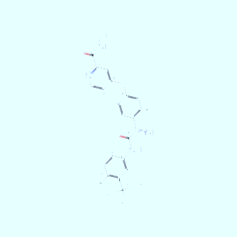 CNC(=O)c1cc(Oc2ccc(N(N)C(=O)Nc3ccc(Cl)c(C(F)(F)F)c3)cc2)ccn1